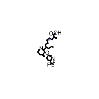 C=C(C/C=C\CCC(CCC)C1=NC=CCC(=C)C1Oc1ccc(C(F)(F)F)nc1)C(=O)O